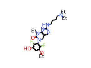 CCOc1cc(O)c(F)c(N2Cc3cnc(NCCCCN(CC)CC)nc3N(CC)C2=O)c1F